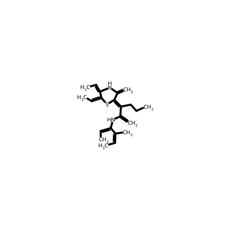 C=C(NC(=C/C)/C(C)=C\C)/C(CCC)=C1\SC(=C/C)/C(=C\C)NC1=C